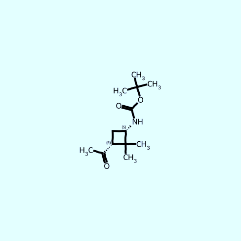 CC(=O)[C@@H]1C[C@H](NC(=O)OC(C)(C)C)C1(C)C